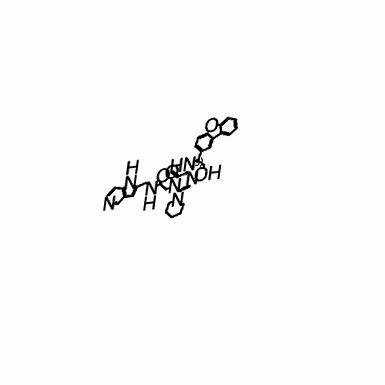 O=C(Cn1c(N2CCCCC2)cnc(N[C@H](CO)c2ccc3oc4ccccc4c3c2)c1=O)NCc1cc2cnccc2[nH]1